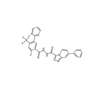 O=C(NNC(=O)c1cnc2cc(-c3ccccc3)ccn12)c1cc(-c2ncccn2)c(C(F)(F)F)cc1F